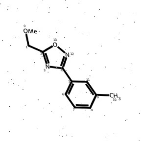 COCc1nc(-c2cccc(C)c2)no1